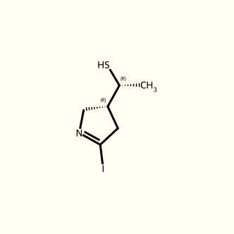 C[C@@H](S)[C@H]1CN=C(I)C1